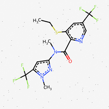 CCSc1cc(C(F)(F)F)cnc1C(=O)N(C)c1cc(C(F)(F)F)n(C)n1